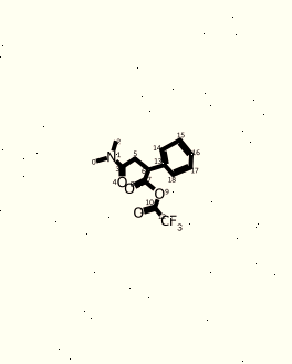 CN(C)C(=O)CC(C(=O)OC(=O)C(F)(F)F)c1ccccc1